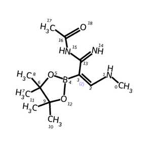 CN/C=C(/B1OC(C)(C)C(C)(C)O1)C(=N)NC(C)=O